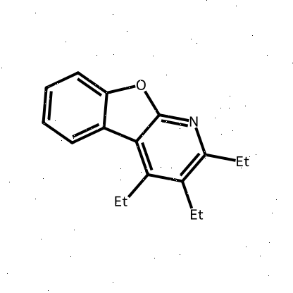 CCc1nc2oc3ccccc3c2c(CC)c1CC